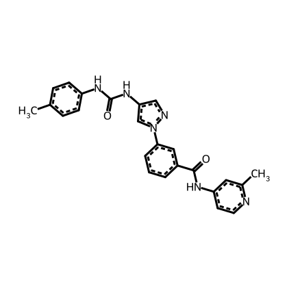 Cc1ccc(NC(=O)Nc2cnn(-c3cccc(C(=O)Nc4ccnc(C)c4)c3)c2)cc1